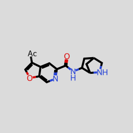 CC(=O)c1coc2cnc(C(=O)NC3CC4CNC3C4)cc12